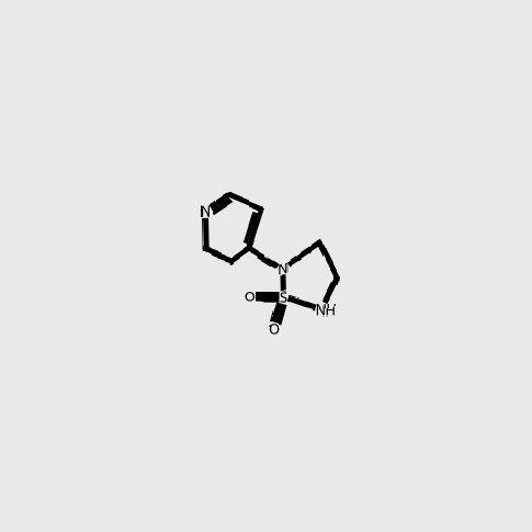 O=S1(=O)NCCN1C1=CC=NCC1